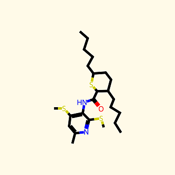 CCCCCC1CCC(CCCCC)C(C(=O)Nc2c(SC)cc(C)nc2SC)S1